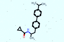 CC(Cc1ccc(-c2ccc(C(C)C)cc2)cc1)NC(=O)C1CC1